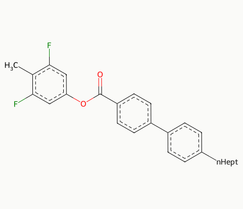 CCCCCCCc1ccc(-c2ccc(C(=O)Oc3cc(F)c(C)c(F)c3)cc2)cc1